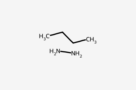 CCCC.NN